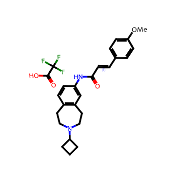 COc1ccc(/C=C/C(=O)Nc2ccc3c(c2)CCN(C2CCC2)CC3)cc1.O=C(O)C(F)(F)F